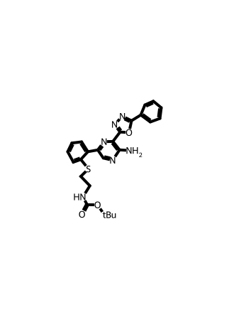 CC(C)(C)OC(=O)NCCSc1ccccc1-c1cnc(N)c(-c2nnc(-c3ccccc3)o2)n1